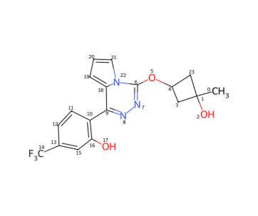 CC1(O)CC(Oc2nnc(-c3ccc(C(F)(F)F)cc3O)c3cccn23)C1